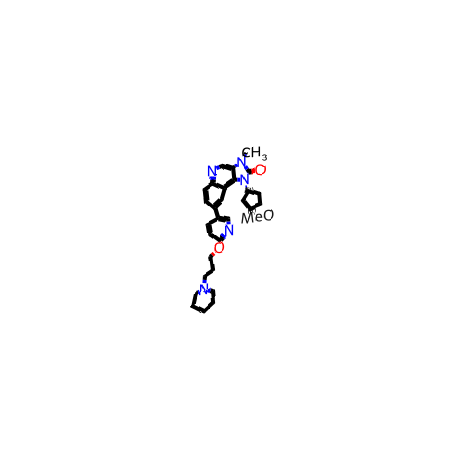 CO[C@@H]1CC[C@@H](n2c(=O)n(C)c3cnc4ccc(-c5ccc(OCCCN6CCCCC6)nc5)cc4c32)C1